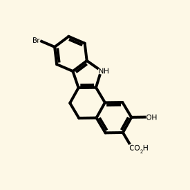 O=C(O)c1cc2c(cc1O)-c1[nH]c3ccc(Br)cc3c1CC2